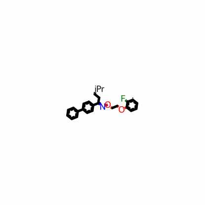 CC(C)CC/C(=N\OCCOc1ccc[c]c1F)c1ccc(-c2ccccc2)cc1